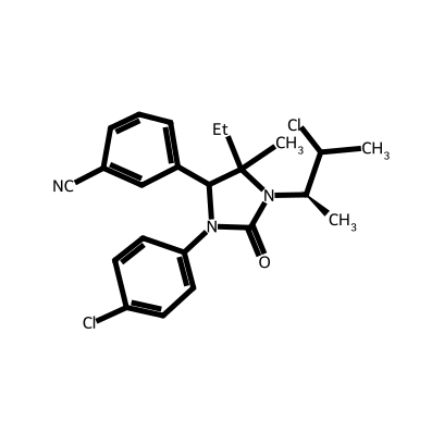 CCC1(C)C(c2cccc(C#N)c2)N(c2ccc(Cl)cc2)C(=O)N1[C@H](C)C(C)Cl